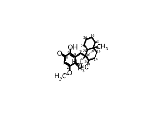 COC1=CC(=O)C(O)=C(CC2(C)C(C)CCC3(C)CCCCC32)C1=O